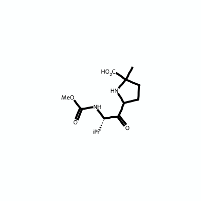 COC(=O)N[C@H](C(=O)C1CCC(C)(C(=O)O)N1)C(C)C